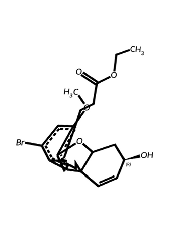 CCOC(=O)CCN1CCC23C=C[C@H](O)CC2Oc2c(OC)cc(Br)c(c23)C1